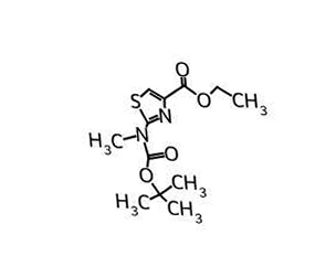 CCOC(=O)c1csc(N(C)C(=O)OC(C)(C)C)n1